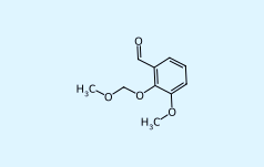 COCOc1c(C=O)cccc1OC